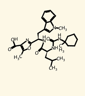 Cc1oc([C@@H](Cc2cn(C)c3ccccc23)NC(=O)[C@H](CC(C)C)NC(=O)NC2(C)CCCCC2)nc1C(=O)O